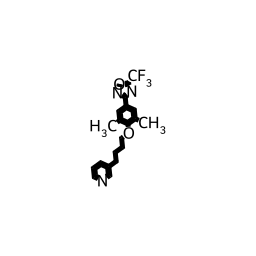 Cc1cc(-c2noc(C(F)(F)F)n2)cc(C)c1OCCCCc1cccnc1